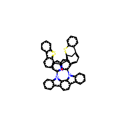 C1=CC(c2cccc(-n3c4ccccc4c4ccc5c6ccccc6n(-c6cccc(-c7cccc8c7sc7ccccc78)c6)c5c43)n2)=C2CC(=C1)c1ccccc1S2